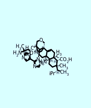 CC(C)[C@@H](C)[C@@]1(C)CC[C@]2(C)[C@H]3CC[C@@H]4[C@@]5(COC[C@@]4(C)[C@@H](OC[C@](C)(N)C(C)(C)C)[C@H](n4ncnc4-c4cncs4)C5)C3=CC[C@@]2(C)[C@@H]1C(=O)O